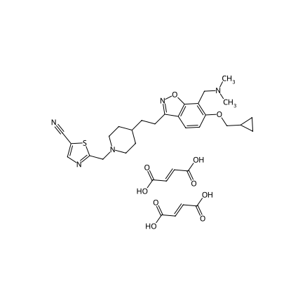 CN(C)Cc1c(OCC2CC2)ccc2c(CCC3CCN(Cc4ncc(C#N)s4)CC3)noc12.O=C(O)C=CC(=O)O.O=C(O)C=CC(=O)O